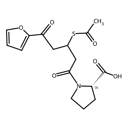 CC(=O)SC(CC(=O)c1ccco1)CC(=O)N1CCC[C@H]1C(=O)O